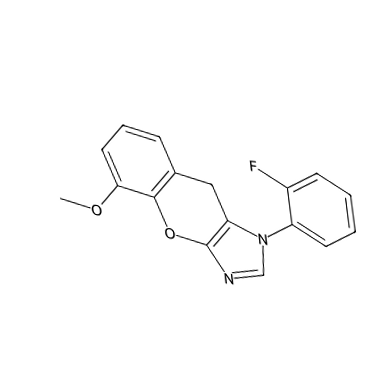 COc1cccc2c1Oc1ncn(-c3ccccc3F)c1C2